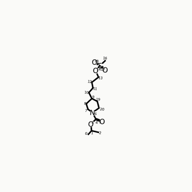 CC(C)OC(=O)N1CCC(CCCCOS(C)(=O)=O)CC1